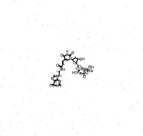 O=C(/C=C/c1cn([C@H]2C[C@@H](O)[C@@H](COP(=O)(O)OP(=O)(O)OP(=O)(O)O)O2)c(=O)[nH]c1=O)NCCn1cnc2c(=O)[nH]cnc21